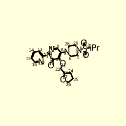 CC(C)S(=O)(=O)N1CCN(c2cnn(-c3ccccn3)c(=O)c2OCC2CCCO2)CC1